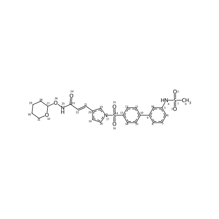 CS(=O)(=O)Nc1cccc(-c2ccc(S(=O)(=O)n3ccc(/C=C/C(=O)NOC4CCCCO4)c3)cc2)c1